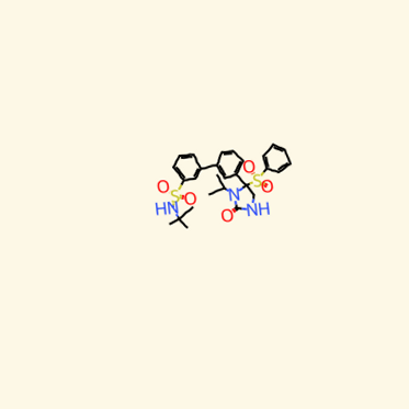 CC(C)N1C(=O)NCC1(c1cccc(-c2cccc(S(=O)(=O)NC(C)(C)C)c2)c1)S(=O)(=O)c1ccccc1